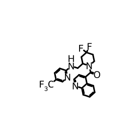 O=C(c1ccnc2ccccc12)N1CCC(F)(F)CC1CNc1ccc(C(F)(F)F)cn1